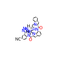 Cn1c(C(=O)Nc2cccc3cc(C(=O)Nc4ccc(C#N)cc4-c4nnn[nH]4)n(C)c23)cc2ccccc21